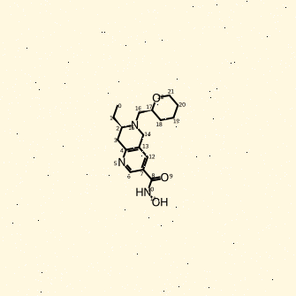 CC[C@@H]1Cc2ncc(C(=O)NO)cc2CN1C[C@@H]1CCCCO1